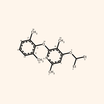 CCC(CC)Oc1cc(C)nc(Oc2c(C)cccc2C)c1C